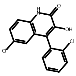 O=c1[nH]c2ccc(Cl)cc2c(-c2ccccc2Cl)c1O